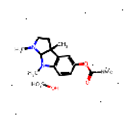 CNC(=O)Oc1ccc2c(c1)C1(C)CCN(C)C1N2C.O=S(=O)(O)O